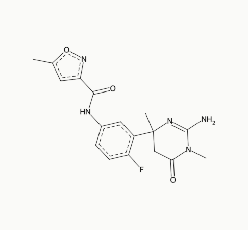 Cc1cc(C(=O)Nc2ccc(F)c(C3(C)CC(=O)N(C)C(N)=N3)c2)no1